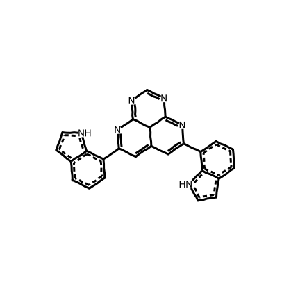 C1=NC2=NC(c3cccc4cc[nH]c34)=CC3=CC(c4cccc5cc[nH]c45)=NC(=N1)C32